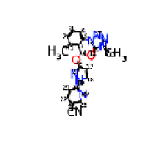 Cc1cccc(-n2nnn(C)c2=O)c1COc1ccn(-c2ccc(C#N)cn2)n1